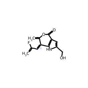 C=C(F)/C=c1\c(=C)oc(=O)c2cc(CO)[nH]c12